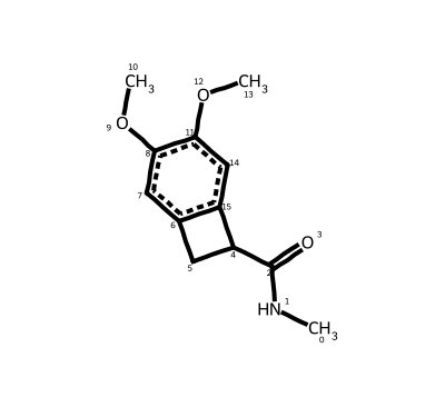 CNC(=O)C1Cc2cc(OC)c(OC)cc21